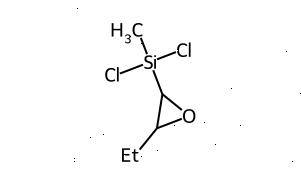 CCC1OC1[Si](C)(Cl)Cl